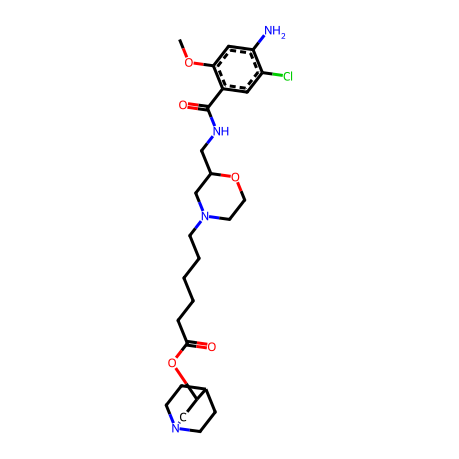 COc1cc(N)c(Cl)cc1C(=O)NCC1CN(CCCCCC(=O)OC2CN3CCC2CC3)CCO1